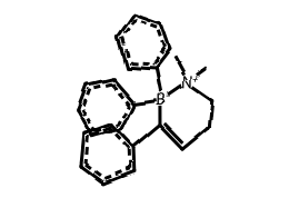 C[N+]1(C)CCC=C(c2ccccc2)[B-]1(c1ccccc1)c1ccccc1